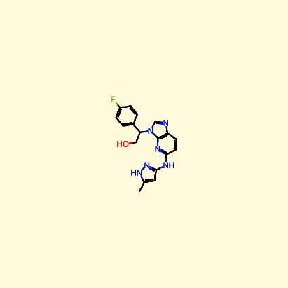 Cc1cc(Nc2ccc3ncn(C(CO)c4ccc(F)cc4)c3n2)n[nH]1